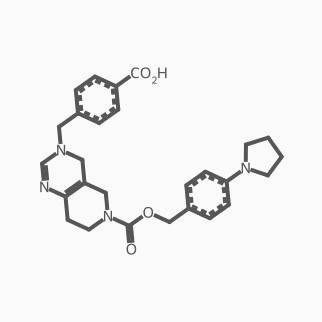 O=C(O)c1ccc(CN2C=NC3=C(C2)CN(C(=O)OCc2ccc(N4CCCC4)cc2)CC3)cc1